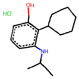 CC(C)Nc1cccc(O)c1C1CCCCC1.Cl